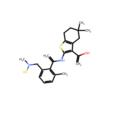 C=C(Nc1sc2c(c1C(=C)O)CC(C)(C)CC2)c1c(C)cccc1CN(C)S